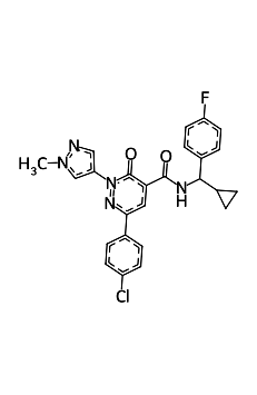 Cn1cc(-n2nc(-c3ccc(Cl)cc3)cc(C(=O)NC(c3ccc(F)cc3)C3CC3)c2=O)cn1